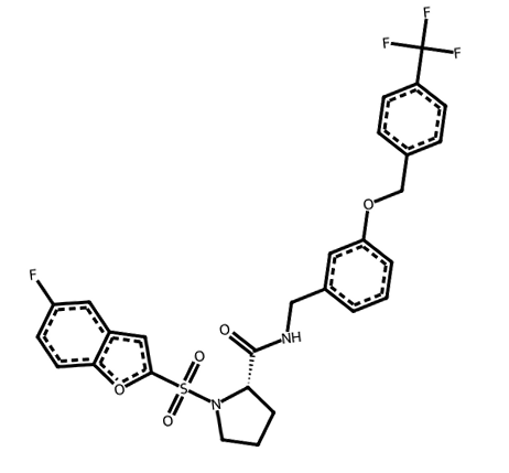 O=C(NCc1cccc(OCc2ccc(C(F)(F)F)cc2)c1)[C@@H]1CCCN1S(=O)(=O)c1cc2cc(F)ccc2o1